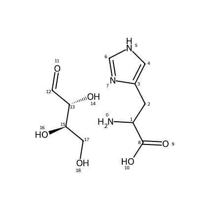 NC(Cc1c[nH]cn1)C(=O)O.O=C[C@H](O)[C@H](O)CO